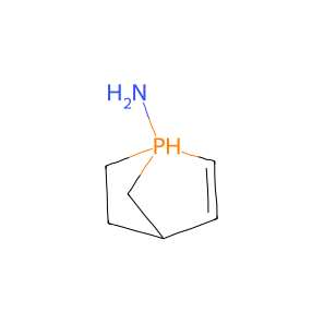 N[PH]12C=CC(CC1)C2